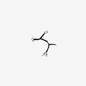 C[CH]C(C)C(Cl)Cl